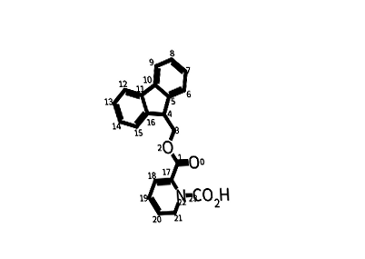 O=C(OCC1c2ccccc2-c2ccccc21)C1=CC=CCN1C(=O)O